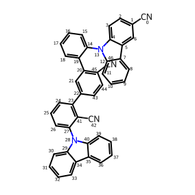 N#Cc1ccc2c(c1)c1ccccc1n2-c1ccccc1-c1cc(-c2cccc(-n3c4ccccc4c4ccccc43)c2C#N)ccc1C#N